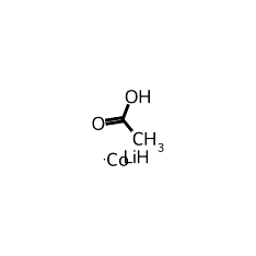 CC(=O)O.[Co].[LiH]